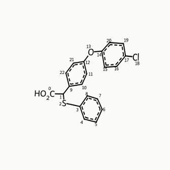 O=C(O)C(Sc1ccccc1)c1ccc(Oc2ccc(Cl)cc2)cc1